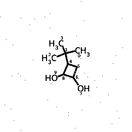 CC(C)(C)C1CC(O)C1O